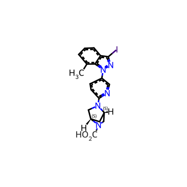 Cc1cccc2c(I)nn(-c3ccc(N4C[C@@H]5C[C@H]4CN5C(=O)O)nc3)c12